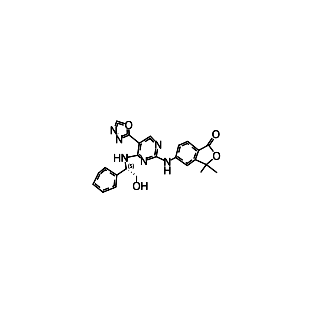 CC1(C)OC(=O)c2ccc(Nc3ncc(-c4nnco4)c(N[C@H](CO)c4ccccc4)n3)cc21